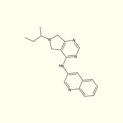 CCC(C)N1Cc2ncnc(Nc3cnc4ccccc4c3)c2C1